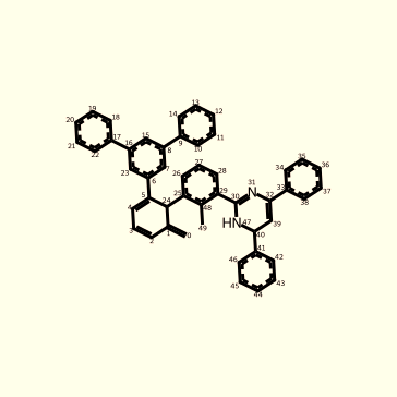 C=C1C=CC=C(c2cc(-c3ccccc3)cc(-c3ccccc3)c2)C1c1cccc(C2=NC(c3ccccc3)=CC(c3ccccc3)N2)c1C